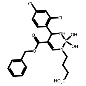 O=C(O)CCCN1C=C(C(=O)OCc2ccccc2)C(c2ccc(Cl)cc2Cl)NS1(O)O